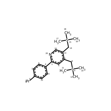 CC(C)c1ccc(-c2cc(CS(C)(C)C)c(CS(C)(C)C)cn2)cc1